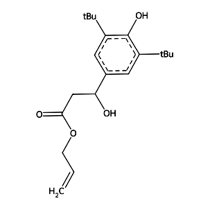 C=CCOC(=O)CC(O)c1cc(C(C)(C)C)c(O)c(C(C)(C)C)c1